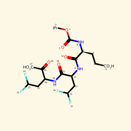 CC(C)OC(=O)N[C@@H](CCC(=O)O)C(=O)NC(CC(F)F)C(=O)NC(CC(F)F)C(=O)C(=O)O